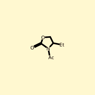 CCC1COC(=O)N1C(C)=O